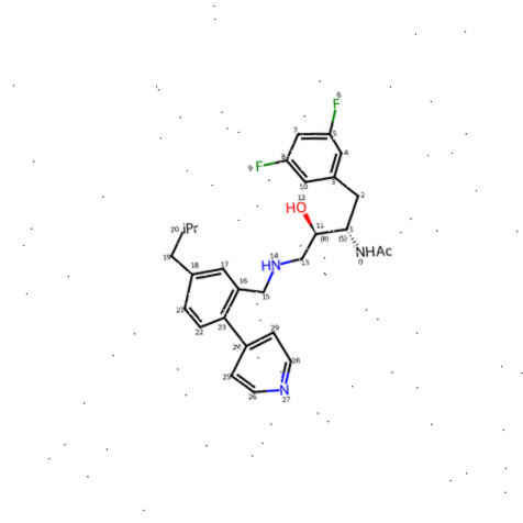 CC(=O)N[C@@H](Cc1cc(F)cc(F)c1)[C@H](O)CNCc1cc(CC(C)C)ccc1-c1ccncc1